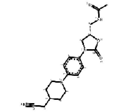 CC(=O)NC[C@H]1CN(c2ccc(N3CCC(CC#N)CC3)cc2)C(=O)O1